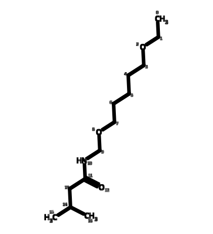 CCOCCCCCOCNC(=O)CC(C)C